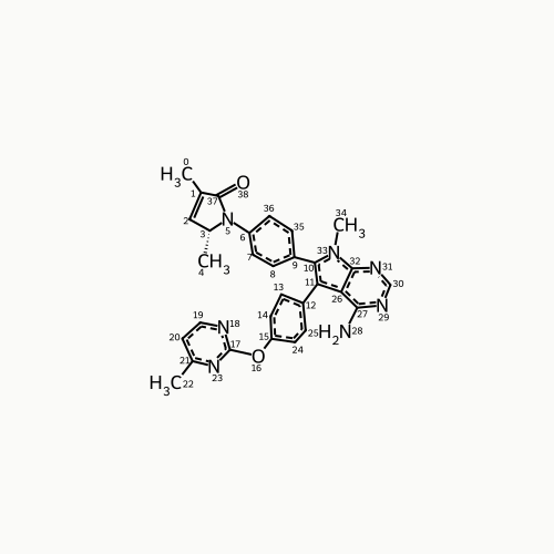 CC1=C[C@@H](C)N(c2ccc(-c3c(-c4ccc(Oc5nccc(C)n5)cc4)c4c(N)ncnc4n3C)cc2)C1=O